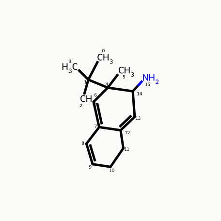 CC(C)(C)C1(C)C=C2C=CCCC2=CC1N